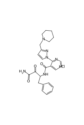 Cl.NC(=O)C(=O)C(Cc1ccccc1)NC(=O)c1cccnc1-n1ccc(CN2CCCCC2)n1